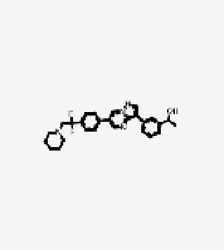 CC(O)c1cccc(-c2cnn3cc(-c4ccc(C(F)(F)CN5CCCCC5)cc4)cnc23)c1